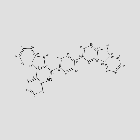 c1ccc2c(c1)nc(-c1ccc(-c3ccc4oc5ccccc5c4c3)cc1)c1sc3ccccc3c12